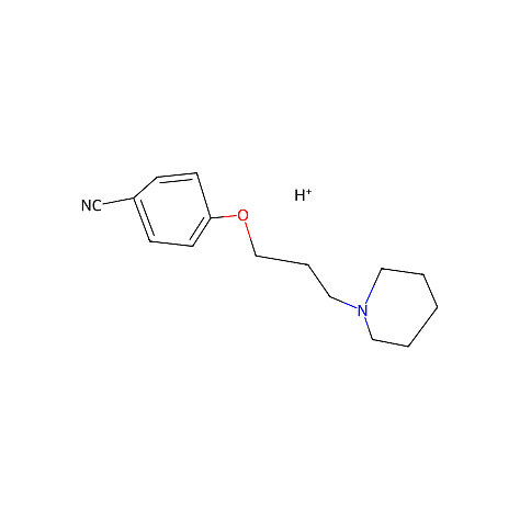 N#Cc1ccc(OCCCN2CCCCC2)cc1.[H+]